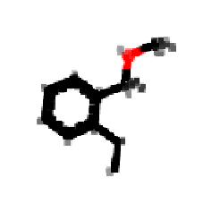 CCc1ccccc1[SiH2]O[SiH3]